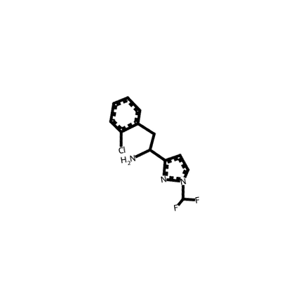 NC(Cc1ccccc1Cl)c1ccn(C(F)F)n1